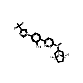 CN(c1ccc(-c2ccc(-n3cnc(C(F)(F)F)c3)cc2O)nn1)C1C[C@H]2CC[C@@H](C1)N2